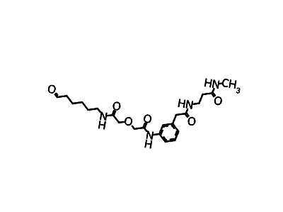 CNC(=O)CCNC(=O)Cc1cccc(NC(=O)COCC(=O)NCCCCCC=O)c1